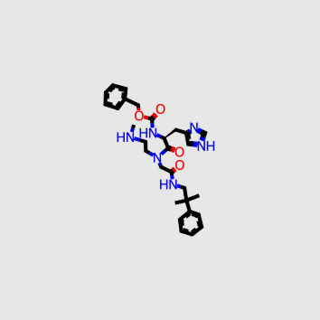 CNCCN(CC(=O)NCC(C)(C)c1ccccc1)C(=O)[C@H](Cc1c[nH]cn1)NC(=O)OCc1ccccc1